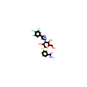 NC(=O)c1cccc(SC2OC(CO)C(O)C(n3cc(-c4cc(F)c(F)c(F)c4)nn3)C2O)c1